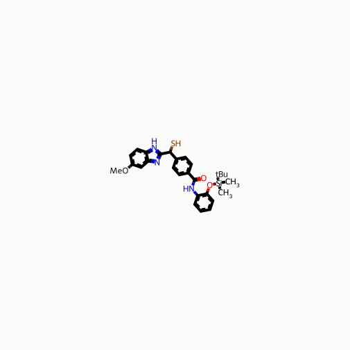 COc1ccc2[nH]c(C(S)c3ccc(C(=O)Nc4ccccc4O[Si](C)(C)C(C)(C)C)cc3)nc2c1